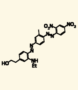 CCNc1cc(CCO)ccc1N=Nc1ccc(N=Nc2ccc([N+](=O)[O-])cc2[N+](=O)[O-])c(C)c1